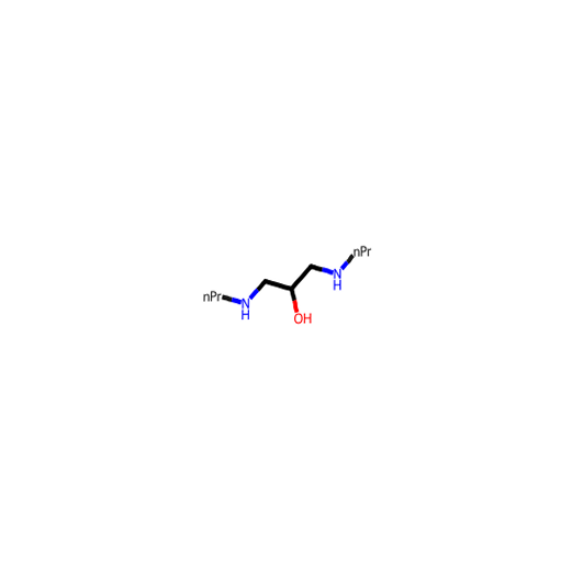 CCCNCC(O)CNCCC